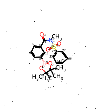 CN(C(=O)c1cccc(B2OC(C)(C)C(C)(C)O2)c1)S(=O)(=O)c1ccccc1